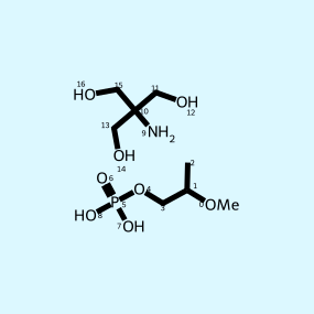 COC(C)COP(=O)(O)O.NC(CO)(CO)CO